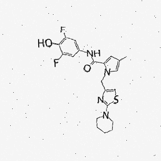 Cc1cc(C(=O)Nc2cc(F)c(O)c(F)c2)n(Cc2csc(N3CCCCC3)n2)c1